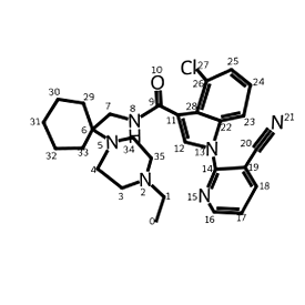 CCN1CCN(C2(CNC(=O)c3cn(-c4ncccc4C#N)c4cccc(Cl)c34)CCCCC2)CC1